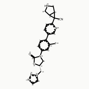 N#CC1(c2ccc(-c3ccc(N4C[C@H](Cn5ccnn5)OC4=O)cc3F)cn2)C2CNCC21